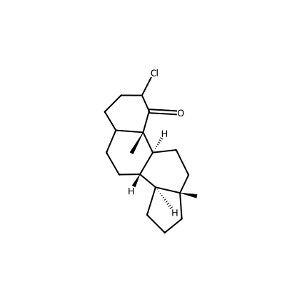 C[C@@]12CCC[C@H]1[C@@H]1CCC3CCC(Cl)C(=O)[C@]3(C)[C@H]1CC2